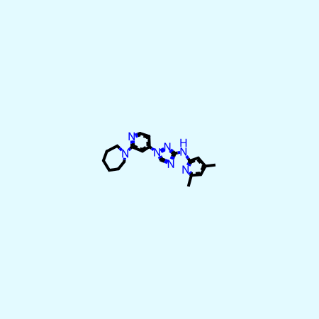 Cc1cc(C)nc(Nc2ncn(-c3ccnc(N4CCCCCC4)c3)n2)c1